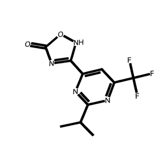 CC(C)c1nc(-c2nc(=O)o[nH]2)cc(C(F)(F)F)n1